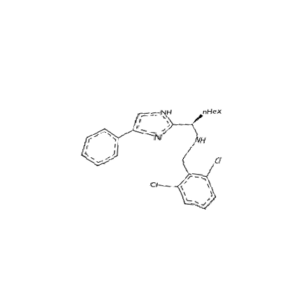 CCCCCC[C@@H](NCc1c(Cl)cccc1Cl)c1nc(-c2ccccc2)c[nH]1